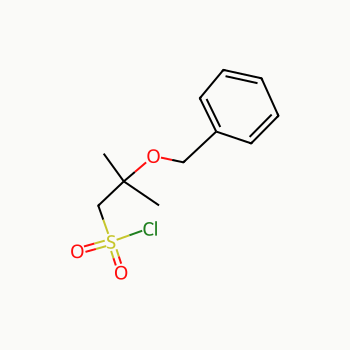 CC(C)(CS(=O)(=O)Cl)OCc1ccccc1